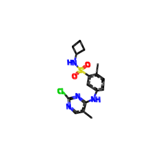 Cc1ccc(Nc2nc(Cl)ncc2C)cc1S(=O)(=O)NC1CCC1